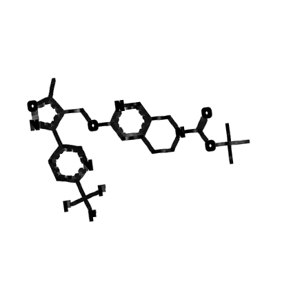 Cc1onc(-c2ccc(C(F)(F)F)nc2)c1COc1cc2c(cn1)CN(C(=O)OC(C)(C)C)CC2